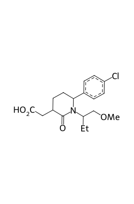 CCC(COC)N1C(=O)C(CC(=O)O)CCC1c1ccc(Cl)cc1